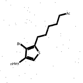 CCCCCCc1csc(CCCCCC(C)=O)c1Br